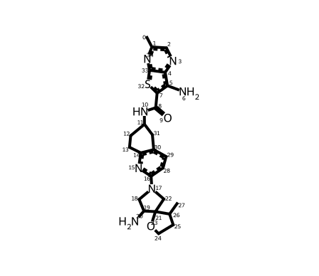 Cc1cnc2c(N)c(C(=O)NC3CCc4nc(N5CC(N)C6(C5)OCCC6C)ccc4C3)sc2n1